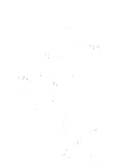 NC(=O)c1cn2c(n1)NCCC2/C=C/P(=O)(O)O